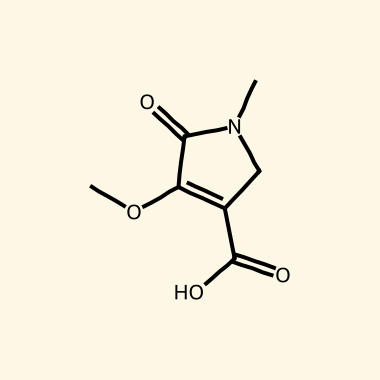 COC1=C(C(=O)O)CN(C)C1=O